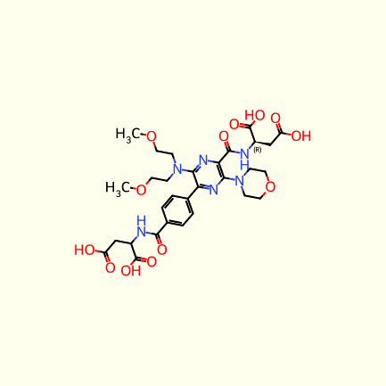 COCCN(CCOC)c1nc(C(=O)N[C@H](CC(=O)O)C(=O)O)c(N2CCOCC2)nc1-c1ccc(C(=O)NC(CC(=O)O)C(=O)O)cc1